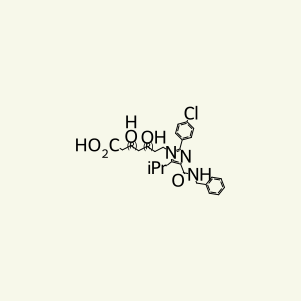 CC(C)c1c(C(=O)NCc2ccccc2)nc(-c2ccc(Cl)cc2)n1CC[C@@H](O)C[C@@H](O)CC(=O)O